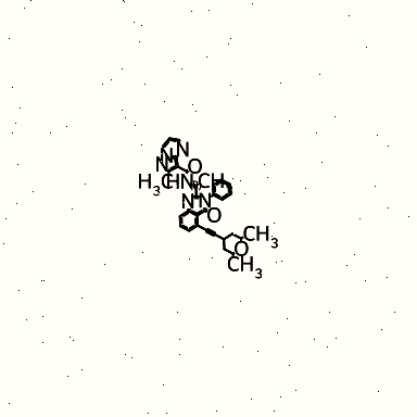 Cc1nn2cccnc2c1C(=O)N[C@H](C)c1nc2cccc(C#CC3CC(C)OC(C)C3)c2c(=O)n1-c1ccccc1